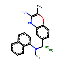 CC1=C(N)Nc2cc(CN(C)c3cccc4ccccc34)ccc2O1.Cl.Cl